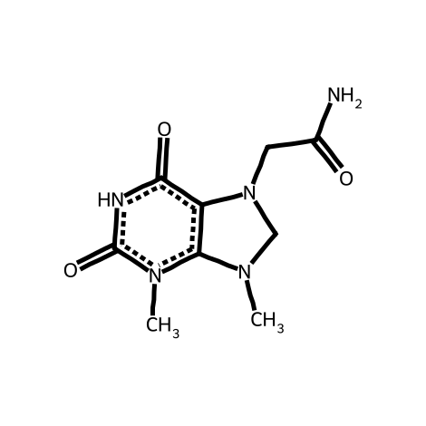 CN1CN(CC(N)=O)c2c1n(C)c(=O)[nH]c2=O